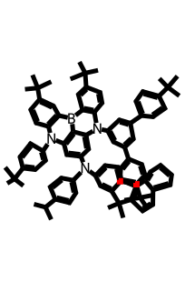 CC(C)c1ccc(N(c2cc3c4c(c2)N(c2cc(-c5ccc(C(C)(C)C)cc5)cc(-c5ccc(C(C)(C)C)cc5)c2)c2ccc(C(C)(C)C)cc2B4c2cc(C(C)(C)C)ccc2N3c2ccc(C(C)(C)C)cc2)c2ccc3c(c2)C(C)(C)c2ccc4ccccc4c2-3)cc1